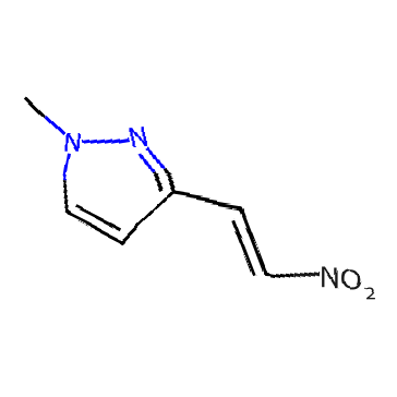 Cn1ccc(/C=C/[N+](=O)[O-])n1